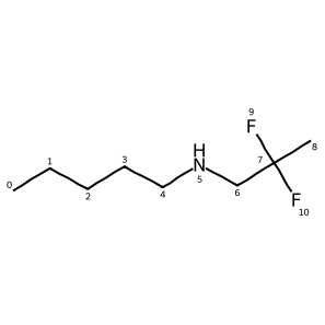 CCCCCNCC(C)(F)F